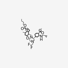 CCCCOC(=O)n1ccc2c(CN3CCN(CC(F)F)C[C@@H]3c3ccc(C(=O)OC)c(NCC4CC4)c3)c(OC)cc(C)c21